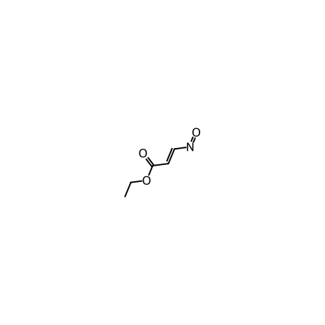 CCOC(=O)C=CN=O